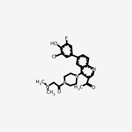 CC(=O)c1cnc2ccc(-c3cc(F)c(O)c(Cl)c3)cc2c1N1CCN(C(=O)CN(C)C)CC1